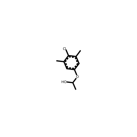 Cc1cc(OC(C)O)cc(C)c1Cl